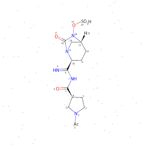 CC(=O)N1CC[C@H](C(=O)NC(=N)[C@@H]2CC[C@@H]3CN2C(=O)N3OS(=O)(=O)O)C1